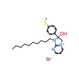 CCCCCCCCCCN1c2nccc[n+]2CC1(O)c1ccc(SC)cc1.[Br-]